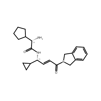 N[C@H](C(=O)N[C@H](/C=C/C(=O)N1Cc2ccccc2C1)C1CC1)C1CCCC1